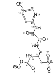 CC(C)(C)OC(=O)N[C@@H](CNC(=O)C(=O)Nc1ccc(Cl)cn1)CS(C)(=O)=O